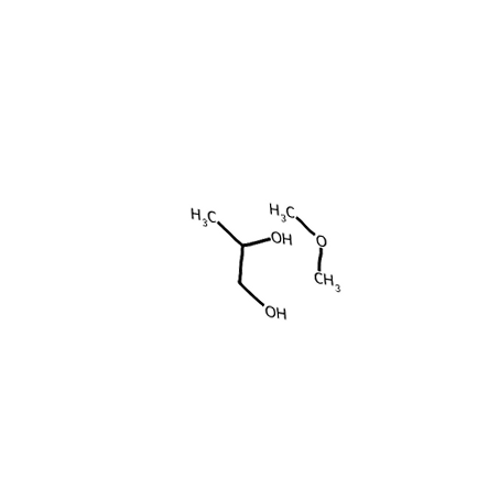 CC(O)CO.COC